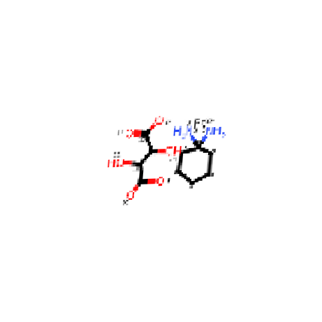 NC1(N)CCCCC1.O=C([O-])C(O)C(O)C(=O)[O-].[Pt+2]